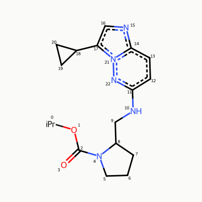 CC(C)OC(=O)N1CCCC1CNc1ccc2ncc(C3CC3)n2n1